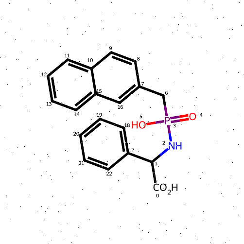 O=C(O)C(NP(=O)(O)Cc1ccc2ccccc2c1)c1ccccc1